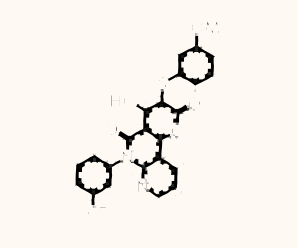 COc1cccc(Sc2c(O)c3c(=O)n(-c4cccc(C(F)(F)F)c4)c4ncccc4c3oc2=O)c1